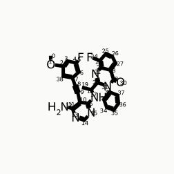 COc1cc(F)cc(C#Cc2c(N)ncnc2NC(C)c2nc3c(F)cccc3c(=O)n2-c2ccccc2)c1